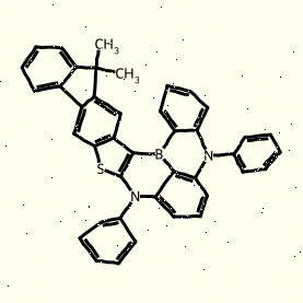 CC1(C)c2ccccc2-c2cc3sc4c(c3cc21)B1c2ccccc2N(c2ccccc2)c2cccc(c21)N4c1ccccc1